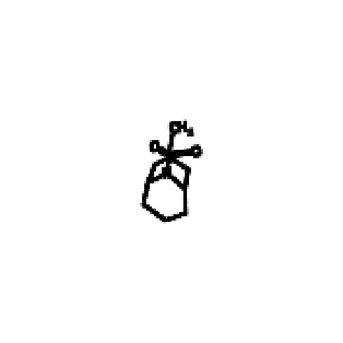 CS(=O)(=O)N1C2CCCC1CSC2